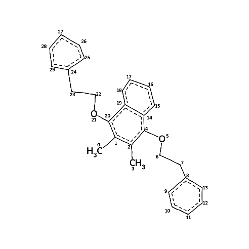 Cc1c(C)c(OCCc2ccccc2)c2ccccc2c1OCCc1ccccc1